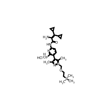 Cc1nn(COCC[Si](C)(C)C)c(C)c1-c1ccc(NC(=O)C(N)=C(C2CC2)C2CC2)nc1F.Cl.Cl